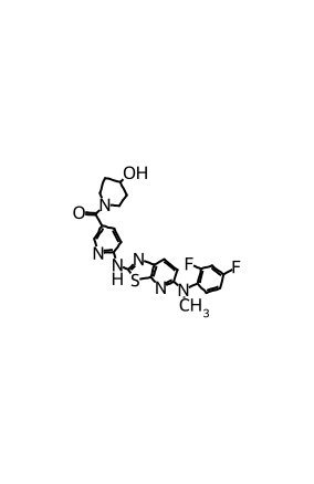 CN(c1ccc2nc(Nc3ccc(C(=O)N4CCC(O)CC4)cn3)sc2n1)c1ccc(F)cc1F